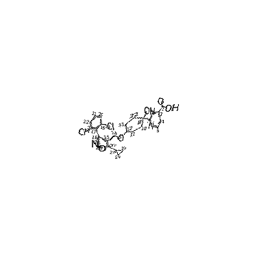 O=C(O)c1ccnc([C@]2(O)CC[C@@H](OCc3c(-c4c(Cl)cccc4Cl)noc3C3CC3)CC2)c1